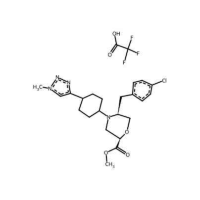 COC(=O)[C@H]1CN(C2CCC(c3cn(C)nn3)CC2)[C@@H](Cc2ccc(Cl)cc2)CO1.O=C(O)C(F)(F)F